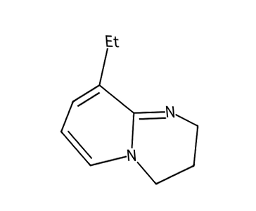 CCC1=CC=CN2CCCN=C12